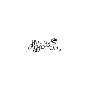 CC(CCc1ccc(Oc2ccc(C(N)=O)cn2)cc1)NCCc1cccs1